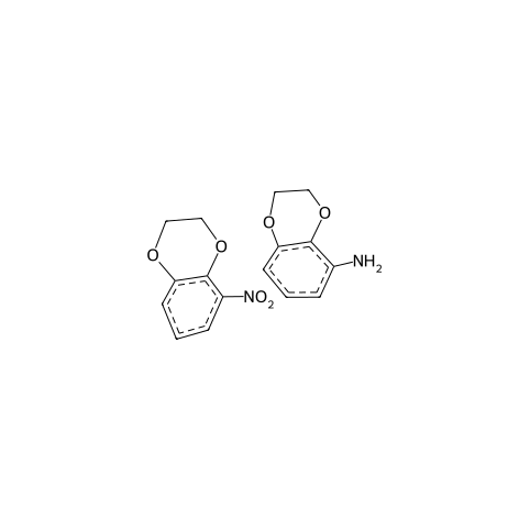 Nc1cccc2c1OCCO2.O=[N+]([O-])c1cccc2c1OCCO2